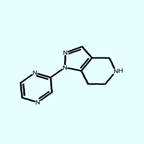 c1cnc(-n2ncc3c2CCNC3)cn1